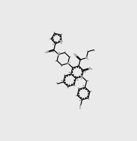 CCOC(=O)c1c(N2CCN(C(=O)c3ccco3)CC2)c2cc(C)ccc2n(Cc2ccc(F)cc2)c1=O